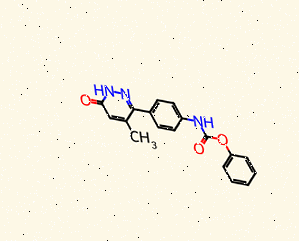 Cc1cc(=O)[nH]nc1-c1ccc(NC(=O)Oc2ccccc2)cc1